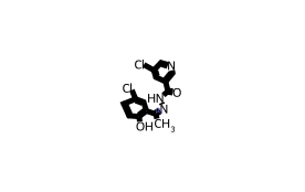 C/C(=N/NC(=O)c1cncc(Cl)c1)c1cc(Cl)ccc1O